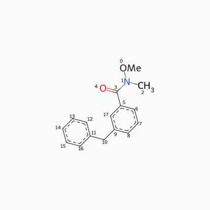 CON(C)C(=O)c1cccc(Cc2ccccc2)c1